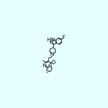 Cc1nc2n(c(=O)c1CCN1CCC(c3n[nH]c4cc(F)ccc34)CC1)CCS2